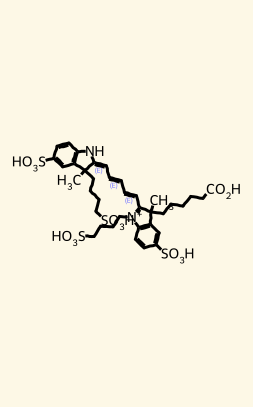 CC1(CCCCCC(=O)O)C(/C=C/C=C/C=C2/Nc3ccc(S(=O)(=O)O)cc3C2(C)CCCCS(=O)(=O)O)=[N+](CCCCS(=O)(=O)O)c2ccc(S(=O)(=O)O)cc21